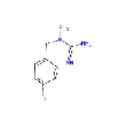 CN(Cc1ccc(Cl)cc1)C(=N)N